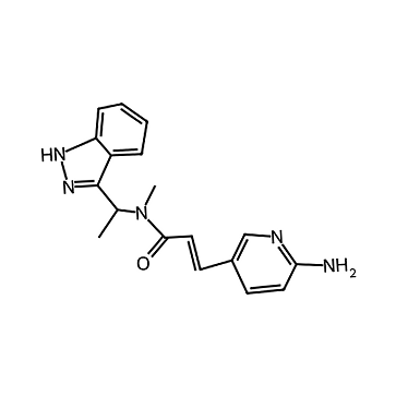 CC(c1n[nH]c2ccccc12)N(C)C(=O)C=Cc1ccc(N)nc1